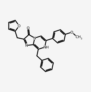 COc1ccc(-c2cn3c(=O)c(Cc4ccco4)nc-3c(Cc3ccccc3)[nH]2)cc1